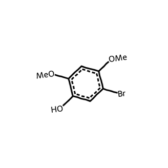 COc1cc(OC)c(Br)cc1O